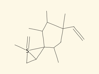 C=CC1(C)CC(C)C2(C(C)C1C)C1CS12(=C)C